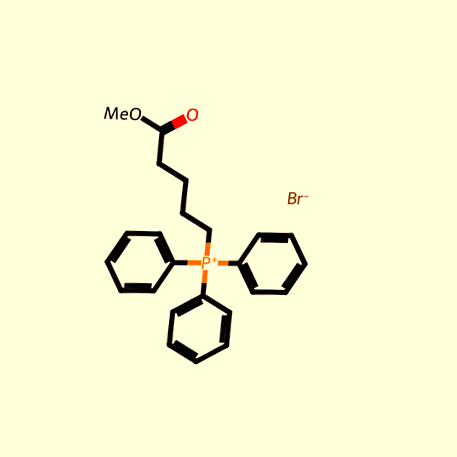 COC(=O)CCCC[P+](c1ccccc1)(c1ccccc1)c1ccccc1.[Br-]